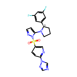 O=S(=O)(c1ccc(-n2cncn2)nc1)n1nccc1N1CCC[C@@H]1c1cc(F)cc(F)c1